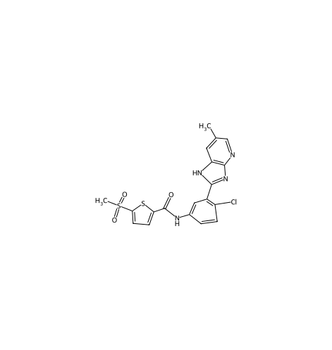 Cc1cnc2nc(-c3cc(NC(=O)c4ccc(S(C)(=O)=O)s4)ccc3Cl)[nH]c2c1